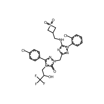 O=c1n(Cc2nc(NCC3CS(=O)(=O)C3)n(-c3ccccc3Cl)n2)nc(-c2ccc(Cl)cc2)n1CC(O)C(F)(F)F